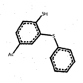 CC(=O)c1ccc(S)c(Sc2ccccc2)c1